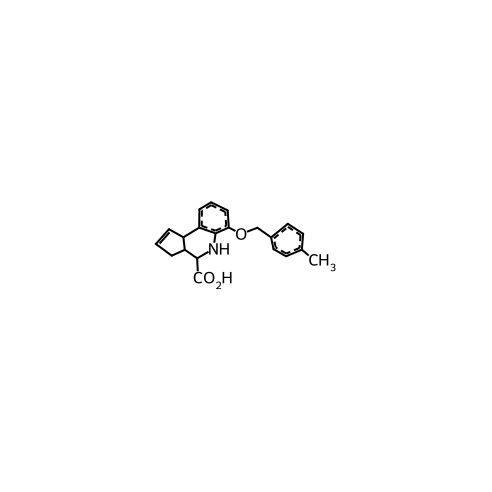 Cc1ccc(COc2cccc3c2NC(C(=O)O)C2CC=CC32)cc1